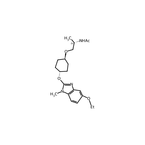 CCOc1ccc2c(c1)nc(O[C@H]1CC[C@H](OC[C@H](C)NC(C)=O)CC1)n2C